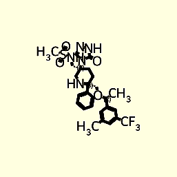 Cc1cc([C@@H](C)OC[C@@]2(c3ccccc3)CC[C@](CNS(C)(=O)=O)(n3cn[nH]c3=O)CN2)cc(C(F)(F)F)c1